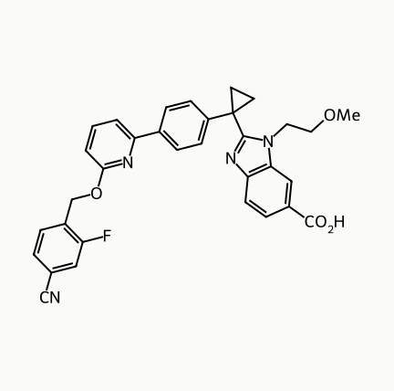 COCCn1c(C2(c3ccc(-c4cccc(OCc5ccc(C#N)cc5F)n4)cc3)CC2)nc2ccc(C(=O)O)cc21